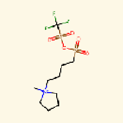 C[N+]1(CCCCS(=O)(=O)OS(=O)(=O)C(F)(F)F)CCCC1